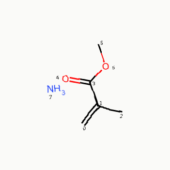 C=C(C)C(=O)OC.N